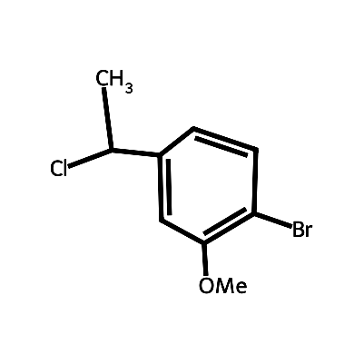 COc1cc(C(C)Cl)ccc1Br